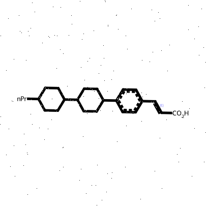 CCCC1CCC(C2CCC(c3ccc(/C=C/C(=O)O)cc3)CC2)CC1